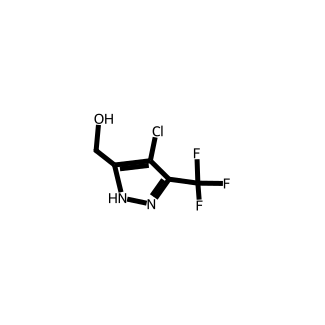 OCc1[nH]nc(C(F)(F)F)c1Cl